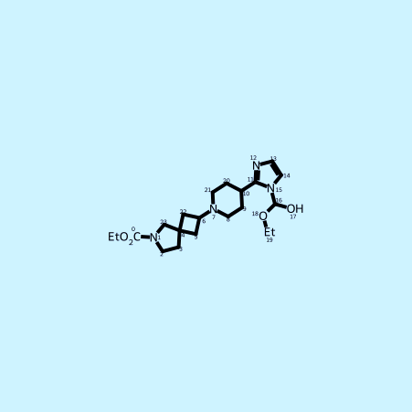 CCOC(=O)N1CCC2(CC(N3CCC(c4nccn4C(O)OCC)CC3)C2)C1